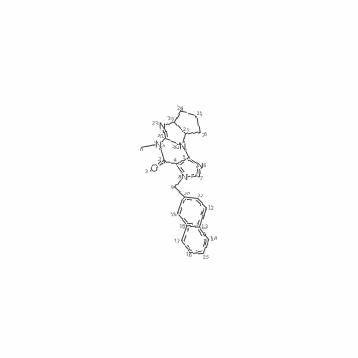 CN1C(=O)c2c(ncn2Cc2ccc3ccccc3c2)N2C1=NC1CCCC12